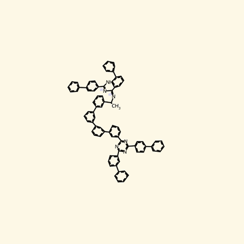 CC(/N=C(\N=C(/N)c1ccc(-c2ccccc2)cc1)c1cccc(-c2ccccc2)c1)c1cccc(-c2cccc(-c3cccc(-c4cccc(-c5nc(-c6ccc(-c7ccccc7)cc6)nc(-c6cccc(-c7ccccc7)c6)n5)c4)c3)c2)c1